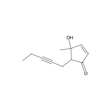 CCC#CCC1C(=O)C=CC1(C)O